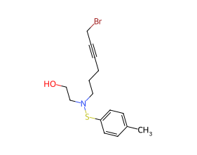 Cc1ccc(SN(CCO)CCCC#CCBr)cc1